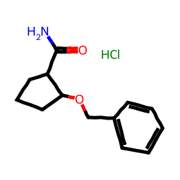 Cl.NC(=O)C1CCCC1OCc1ccccc1